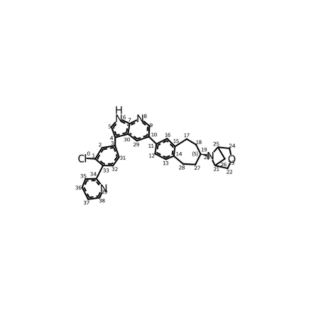 Clc1cc(-c2c[nH]c3ncc(-c4ccc5c(c4)CC[C@@H](N4C6COCC4C6)CC5)cc23)ccc1-c1ccccn1